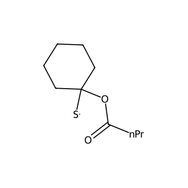 CCCC(=O)OC1([S])CCCCC1